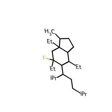 CCC1C(C(CCC(C)C)C(C)C)C(F)(CC)CC2(CC)C(C)CCC12